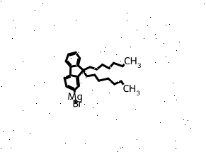 CCCCCCCC1(CCCCCCC)c2c[c]ccc2-c2cc[c]([Mg][Br])cc21